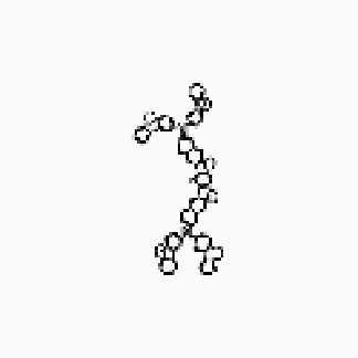 Cc1c2c(cc3oc4cc5cc(N(c6ccc7oc8ccccc8c7c6)c6ccc7oc8ccccc8c7c6)ccc5cc4c13)oc1cc3cc(N(c4ccc5oc6ccccc6c5c4)c4ccc5oc6ccccc6c5c4)ccc3cc12